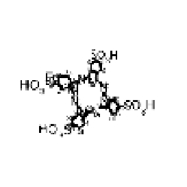 O=S(=O)(O)c1ccc2c(c1)-c1nc-2nc2[nH]c(nc3nc(nc4[nH]c(n1)c1ccc(S(=O)(=O)O)cc41)-c1cc(S(=O)(=O)O)ccc1-3)c1ccc(S(=O)(=O)O)cc21.[Fe]